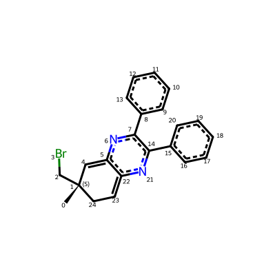 C[C@@]1(CBr)C=c2nc(-c3ccccc3)c(-c3ccccc3)nc2=CC1